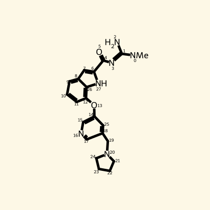 CNC(N)=NC(=O)c1cc2cccc(Oc3cncc(CN4CCCC4)c3)c2[nH]1